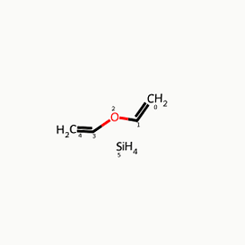 C=COC=C.[SiH4]